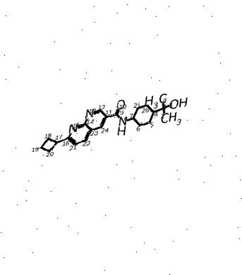 CC(C)(O)C1CCC(NC(=O)c2cnc3nc(C4CCC4)ccc3c2)CC1